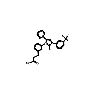 Cc1c(-c2cccc(C(F)(F)F)c2)cc(-c2ccccc2)n1-c1cccc(CCC(=O)O)c1